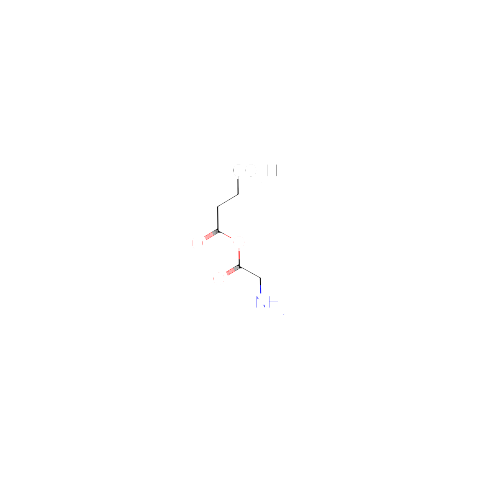 NCC(=O)OC(=O)CCC(=O)O